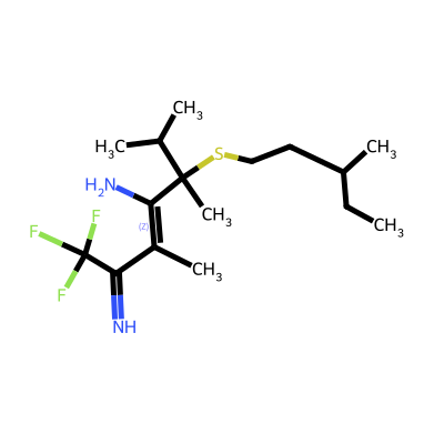 CCC(C)CCSC(C)(/C(N)=C(\C)C(=N)C(F)(F)F)C(C)C